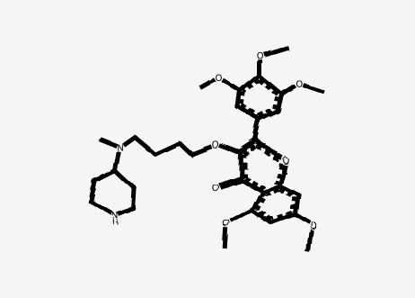 COc1cc(OC)c2c(=O)c(OCCCCN(C)C3CCNCC3)c(-c3cc(OC)c(OC)c(OC)c3)oc2c1